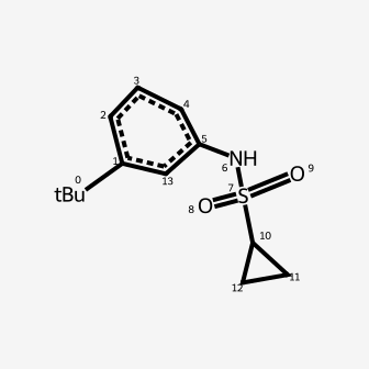 CC(C)(C)c1cccc(NS(=O)(=O)C2CC2)c1